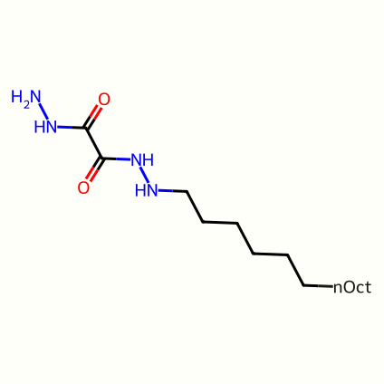 CCCCCCCCCCCCCCNNC(=O)C(=O)NN